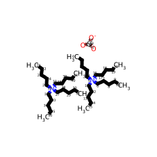 CCCCC[N+](CCCCC)(CCCCC)CCCCC.CCCCC[N+](CCCCC)(CCCCC)CCCCC.O=[Si]([O-])[O-]